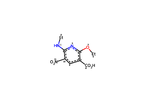 CCNc1nc(OCC)c(C(=O)O)cc1[N+](=O)[O-]